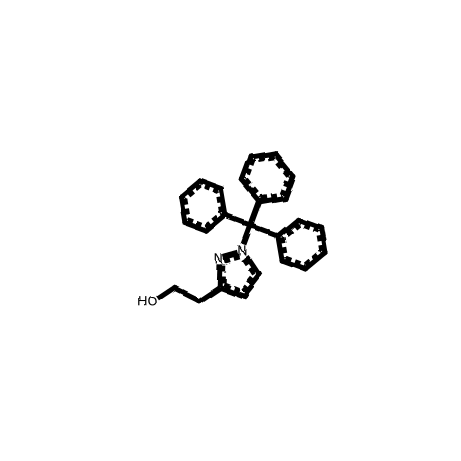 OCCc1ccn(C(c2ccccc2)(c2ccccc2)c2ccccc2)n1